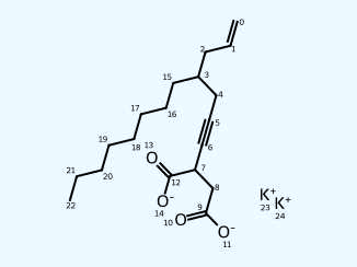 C=CCC(CC#CC(CC(=O)[O-])C(=O)[O-])CCCCCCCC.[K+].[K+]